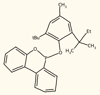 CCC(C)(C)c1cc(C)cc(C(C)(C)C)c1OP1Oc2ccccc2-c2ccccc21